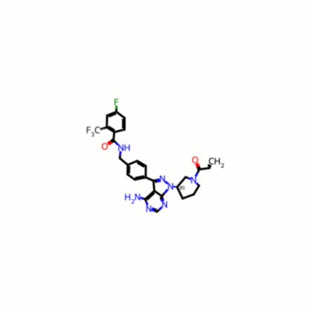 C=CC(=O)N1CCC[C@@H](n2nc(-c3ccc(CNC(=O)c4ccc(F)cc4C(F)(F)F)cc3)c3c(N)ncnc32)C1